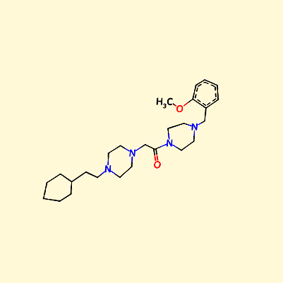 COc1ccccc1CN1CCN(C(=O)CN2CCN(CCC3CCCCC3)CC2)CC1